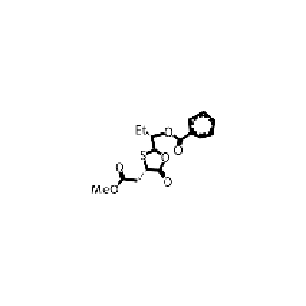 CC[C@H](OC(=O)c1ccccc1)C1OC(=O)[C@H](CC(=O)OC)S1